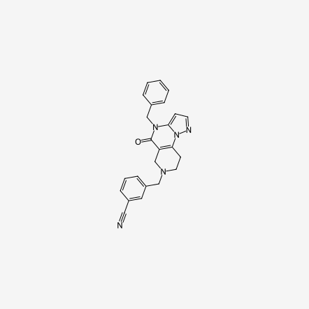 N#Cc1cccc(CN2CCc3c(c(=O)n(Cc4ccccc4)c4ccnn34)C2)c1